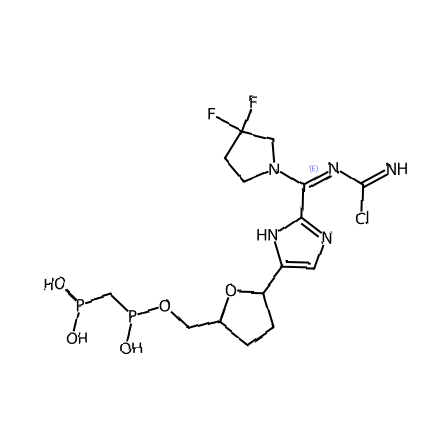 N=C(Cl)/N=C(\c1ncc(C2CCC(COP(O)CP(O)O)O2)[nH]1)N1CCC(F)(F)C1